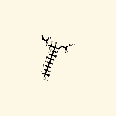 C=CC(=O)OC(F)(F)C(F)(CCC(=O)OC)C(F)(F)C(F)(F)C(F)(F)C(F)(F)C(F)(F)C(F)(F)C(F)(F)C(F)(F)F